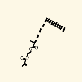 C=C.C=C.C=C.C=C.C=C.C=C.C=C.C=C.C=C.C=C.C=C.C=C.C=C.C=C(C)C(=O)OCCOC(=O)C(=C)C